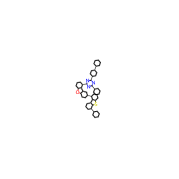 c1ccc(-c2ccc(-c3nc(-c4ccccc4)nc(-c4cccc5oc6ccc(-c7cccc8sc9c(-c%10ccccc%10)cccc9c78)cc6c45)n3)cc2)cc1